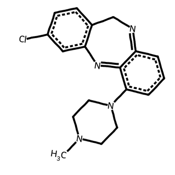 CN1CCN(c2cccc3c2=Nc2cc(Cl)ccc2CN=3)CC1